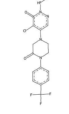 O=C1CN(c2cnn(PI)c(=O)c2Cl)CCN1c1ccc(C(F)(F)F)cc1